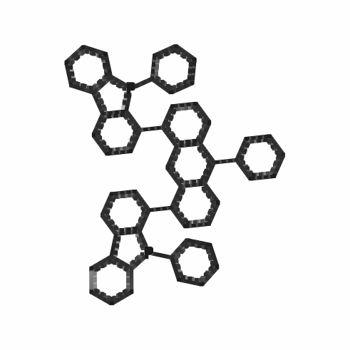 c1ccc(-c2c3cccc(-c4cccc5c6ccccc6p(-c6ccccc6)c45)c3cc3c(-c4cccc5c6ccccc6p(-c6ccccc6)c45)cccc23)cc1